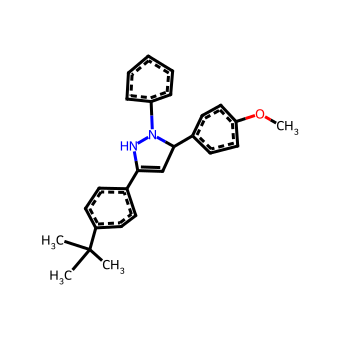 COc1ccc(C2C=C(c3ccc(C(C)(C)C)cc3)NN2c2ccccc2)cc1